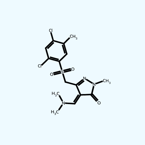 Cc1cc(S(=O)(=O)CC2=NN(C)C(=O)C2=CN(C)C)c(Cl)cc1Cl